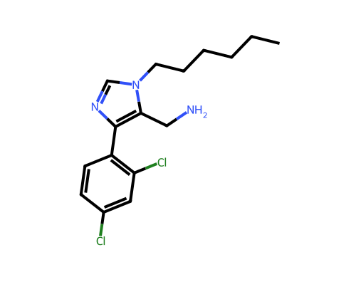 CCCCCCn1cnc(-c2ccc(Cl)cc2Cl)c1CN